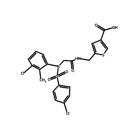 Cc1c(Cl)cccc1N(CC(=O)NCc1cc(C(=O)O)cs1)S(=O)(=O)c1ccc(Cl)cc1